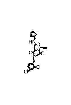 C#CCN1C(=O)CN(CCc2ccc(Cl)cc2Cl)C(=O)C1CC(=O)NCc1cccs1